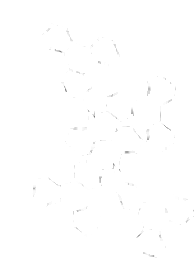 c1ccc(-c2ccccc2-c2ccc3c(c2)c2cc(-c4ccccc4-c4ccccc4)ccc2n3-c2ccccc2-c2ccccc2-n2c3ccc(-c4ccccc4-c4ccccc4)cc3c3cc(-c4ccccc4-c4ccccc4)ccc32)cc1